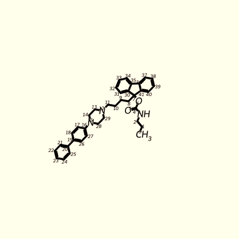 CCCNC(=O)OC1(CCCCN2CCN(c3ccc(-c4ccccc4)cc3)CC2)c2ccccc2-c2ccccc21